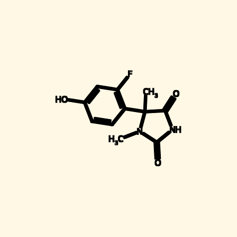 CN1C(=O)NC(=O)C1(C)c1ccc(O)cc1F